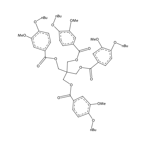 CCCCOc1ccc(C(=O)OCC(COC(=O)c2ccc(OCCCC)c(OC)c2)(COC(=O)c2ccc(OCCCC)c(OC)c2)COC(=O)c2ccc(OCCCC)c(OC)c2)cc1OC